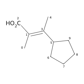 CC(C(=O)O)=C(C)C1CCCC1